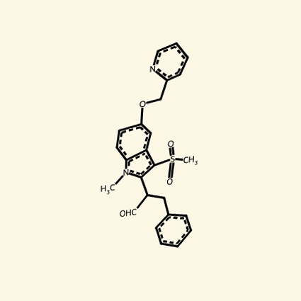 Cn1c(C(C=O)Cc2ccccc2)c(S(C)(=O)=O)c2cc(OCc3ccccn3)ccc21